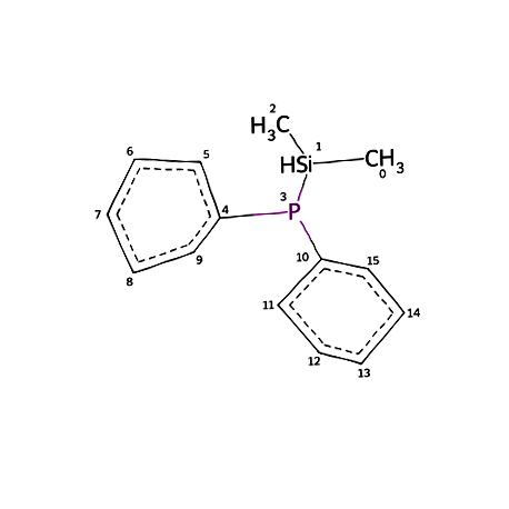 C[SiH](C)P(c1ccccc1)c1ccccc1